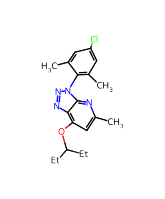 CCC(CC)Oc1cc(C)nc2c1nnn2-c1c(C)cc(Cl)cc1C